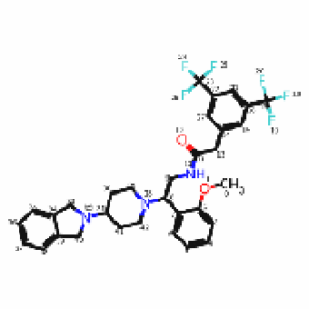 COc1ccccc1C(CNC(=O)Cc1cc(C(F)(F)F)cc(C(F)(F)F)c1)N1CCC(N2Cc3ccccc3C2)CC1